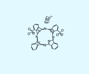 O=S(=O)([O-])c1cccc2c1-c1nc-2nc2[n-]c(nc3nc(nc4[n-]c(n1)c1ccccc41)-c1ccccc1-3)c1c(S(=O)(=O)[O-])cccc21.[Cu+2].[Na+].[Na+]